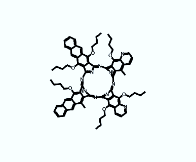 CCCCOc1c2c(c(OCCCC)c3cc4ccccc4cc13)-c1nc-2nc2[nH]c(nc3nc(nc4[nH]c(n1)c1c(OCCCC)c5ncccc5c(C)c41)-c1c-3c(OCCCC)c3cccnc3c1OCCCC)c1c(C)c3cc4ccccc4cc3c(OCCCC)c21